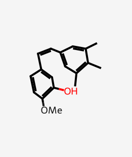 COc1ccc(/C=C\c2cc(C)c(C)c(C)c2)cc1O